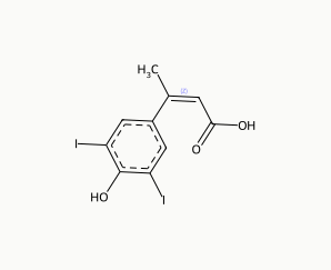 C/C(=C/C(=O)O)c1cc(I)c(O)c(I)c1